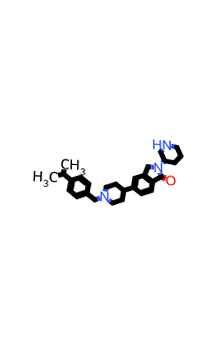 CC(C)c1ccc(CN2CCC(c3ccc4c(c3)CN(C3CCCNC3)C4=O)CC2)cc1